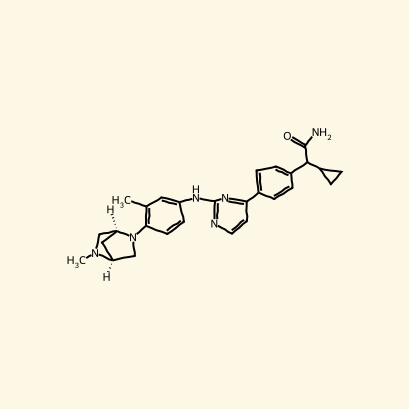 Cc1cc(Nc2nccc(-c3ccc(C(C(N)=O)C4CC4)cc3)n2)ccc1N1C[C@@H]2C[C@H]1CN2C